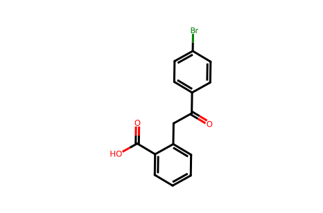 O=C(Cc1ccccc1C(=O)O)c1ccc(Br)cc1